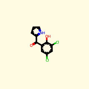 O=C(c1ccc[nH]1)c1cc(Cl)cc(Cl)c1O